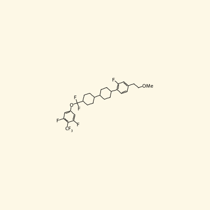 COCCc1ccc(C2CCC(C3CCC(C(F)(F)Oc4cc(F)c(C(F)(F)F)c(F)c4)CC3)CC2)c(F)c1